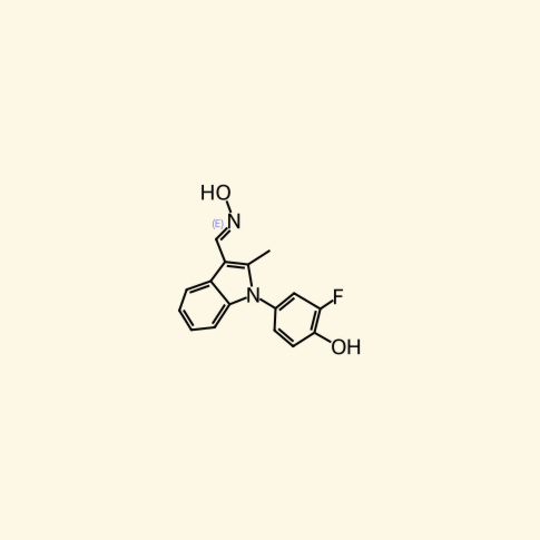 Cc1c(/C=N/O)c2ccccc2n1-c1ccc(O)c(F)c1